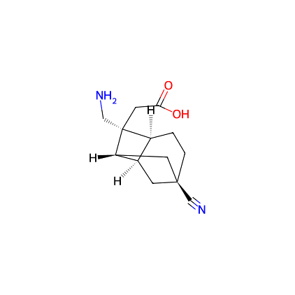 N#C[C@@]12CC[C@H]3[C@@H](C1)[C@@H](C2)[C@@]3(CN)CC(=O)O